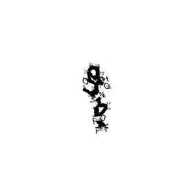 Cc1sc(-c2ccc(OC(F)(F)F)cc2)nc1C1C(=O)C2CC[C@H](C2)C1=O